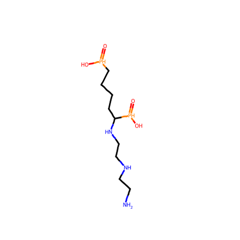 NCCNCCNC(CCCC[PH](=O)O)[PH](=O)O